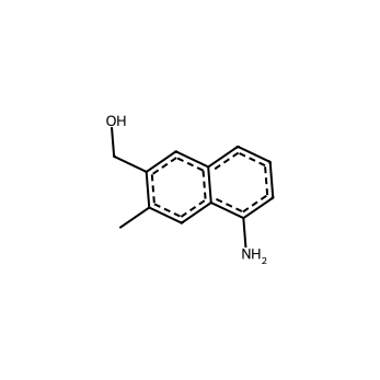 Cc1cc2c(N)cccc2cc1CO